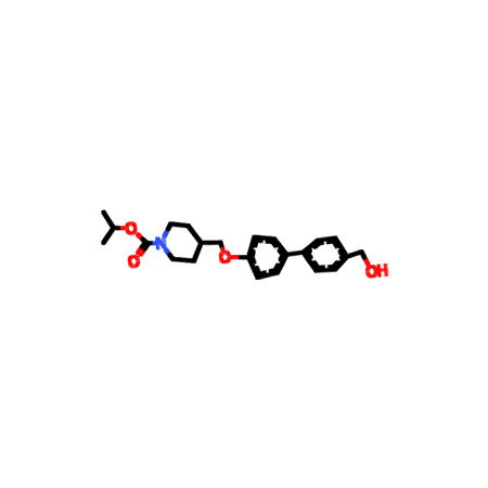 CC(C)OC(=O)N1CCC(COc2ccc(-c3ccc(CO)cc3)cc2)CC1